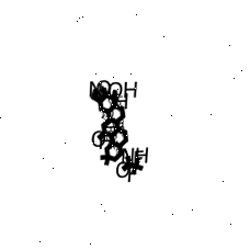 CC1(C)C[C@@H]2C(CC[C@]3(C)[C@@H]2C(=O)C=C2[C@@]4(C)Cc5cnoc5[C@@](C)(O)[C@@H]4CC[C@]23C)[C@H](NC(=O)C(C)(F)F)C1